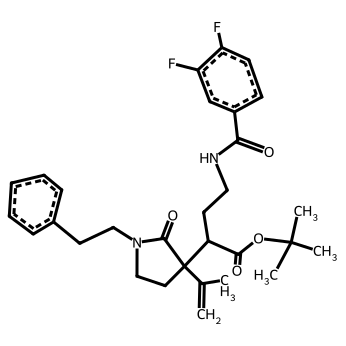 C=C(C)C1(C(CCNC(=O)c2ccc(F)c(F)c2)C(=O)OC(C)(C)C)CCN(CCc2ccccc2)C1=O